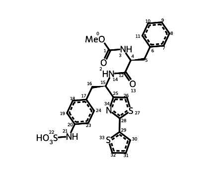 COC(=O)N[C@@H](Cc1ccccc1)C(=O)N[C@H](Cc1ccc(NS(=O)(=O)O)cc1)c1csc(-c2cccs2)n1